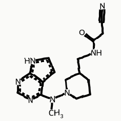 CN(c1ncnc2[nH]ccc12)N1CCCC(CNC(=O)CC#N)C1